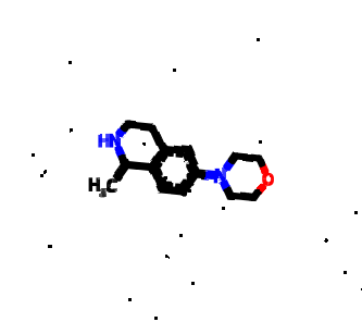 CC1NCCc2cc(N3CCOCC3)ccc21